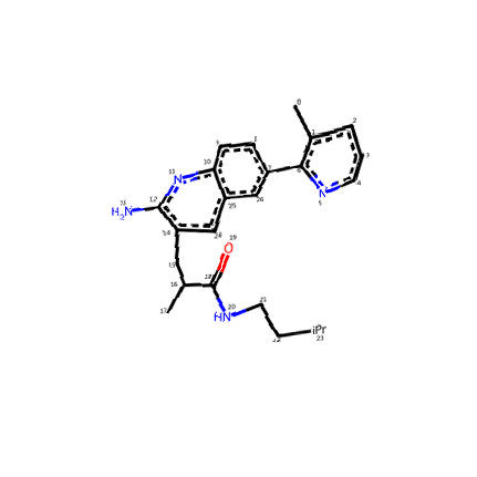 Cc1cccnc1-c1ccc2nc(N)c(CC(C)C(=O)NCCC(C)C)cc2c1